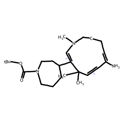 CN1/C=C(/C2CCCN(C(=O)OC(C)(C)C)CC2)C(C)(C)/C=C\C(N)=CCCC1